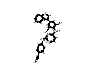 N#Cc1ccc(Nc2nccc(Nc3c(F)cc(-c4coc5ccccc45)cc3F)n2)cc1